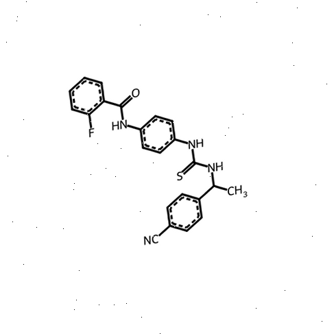 CC(NC(=S)Nc1ccc(NC(=O)c2ccccc2F)cc1)c1ccc(C#N)cc1